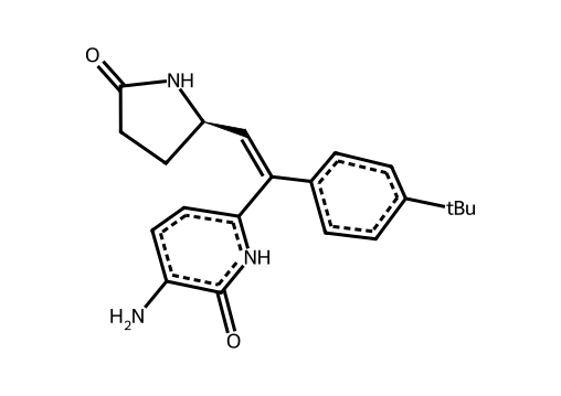 CC(C)(C)c1ccc(C(=C[C@H]2CCC(=O)N2)c2ccc(N)c(=O)[nH]2)cc1